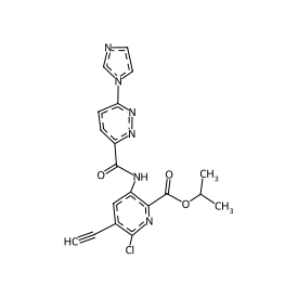 C#Cc1cc(NC(=O)c2ccc(-n3ccnc3)nn2)c(C(=O)OC(C)C)nc1Cl